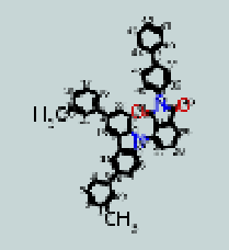 Cc1cccc(-c2ccc3c(c2)c2cc(-c4cccc(C)c4)ccc2n3-c2cccc3c2C(=O)N(c2ccc(-c4ccccc4)cc2)C3=O)c1